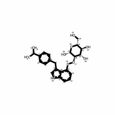 CC(C)c1ccc(Cc2c[nH]c3cccc(OO[C@@H]4[C@@H](O)[C@H](O)[C@@H](CO)O[C@H]4O)c23)cc1